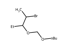 CCCCOCOC(CC)C(C)Br